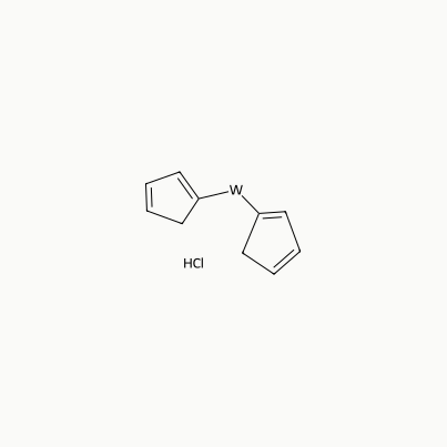 C1=CC[C]([W][C]2=CC=CC2)=C1.Cl